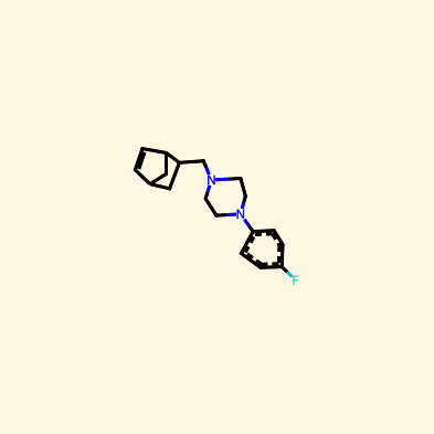 Fc1ccc(N2CCN(CC3CC4C=CC3C4)CC2)cc1